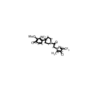 COc1cc(C2(C#N)CCN(C(=O)Cn3nc(C(F)(F)F)c(Cl)c3C)CC2)ccc1Cl